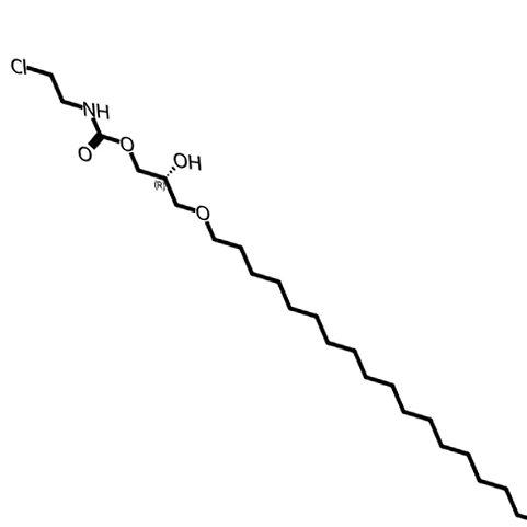 CCCCCCCCCCCCCCCCCCOC[C@@H](O)COC(=O)NCCCl